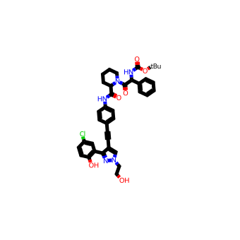 CC(C)(C)OC(=O)NC(C(=O)N1CCCCC1C(=O)Nc1ccc(C#Cc2cn(CCO)nc2-c2cc(Cl)ccc2O)cc1)c1ccccc1